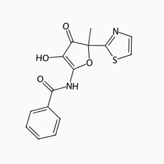 CC1(c2nccs2)OC(NC(=O)c2ccccc2)=C(O)C1=O